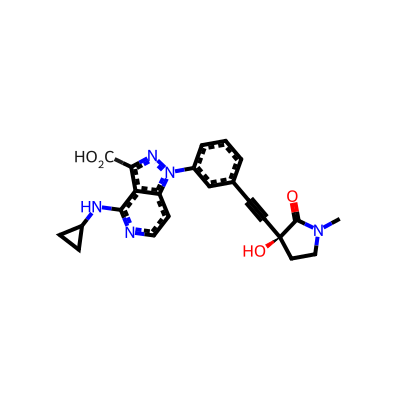 CN1CC[C@](O)(C#Cc2cccc(-n3nc(C(=O)O)c4c(NC5CC5)nccc43)c2)C1=O